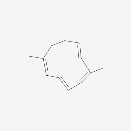 CC1=C/C=C/C=C(/C)CC\C=C\1